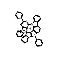 CC1(C)c2ccccc2-c2c1c1c(ccc3c4ccccc4n(-c4nc(-c5ccccc5)cc(-c5ccccc5)n4)c31)n2-c1ccccc1